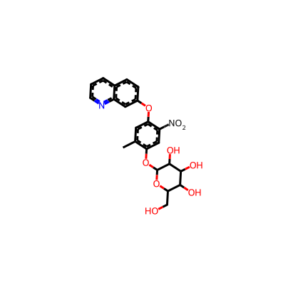 Cc1cc(Oc2ccc3cccnc3c2)c([N+](=O)[O-])cc1OC1OC(CO)C(O)C(O)C1O